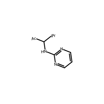 CC(=O)C(Nc1ncccn1)C(C)C